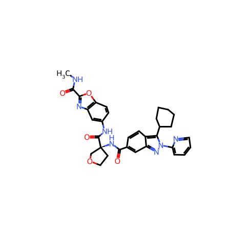 CNC(=O)c1nc2cc(NC(=O)[C@]3(NC(=O)c4ccc5c(C6CCCCC6)n(-c6ccccn6)nc5c4)CCOC3)ccc2o1